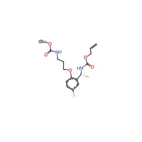 C=CCOC(=O)N[C@H](C)c1cc(F)ccc1OCCCNC(=O)OC(C)(C)C